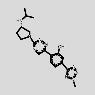 CC(C)N[C@H]1CCN(c2ncc(-c3ccc(-c4nnn(C)n4)cc3O)nn2)C1